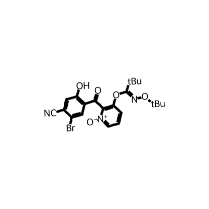 CC(C)(C)ON=C(Oc1ccc[n+]([O-])c1C(=O)c1cc(Br)c(C#N)cc1O)C(C)(C)C